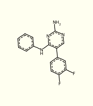 Nc1ncc(-c2ccc(F)c(F)c2)c(Nc2ccccc2)n1